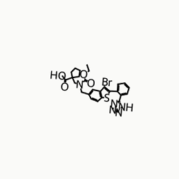 CCOC(=O)N(Cc1ccc2sc(-c3ccccc3-c3nnn[nH]3)c(Br)c2c1)CC1(C(=O)O)CCCC1